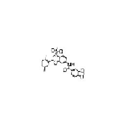 Cc1ccc(C)c(COc2cc(NC(=O)c3ccc4c(c3)OCO4)ccc2N(C)S(C)(=O)=O)c1